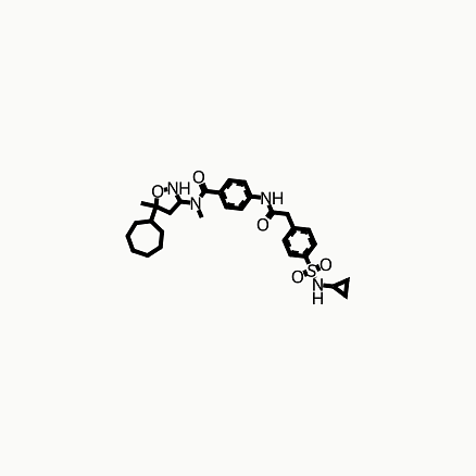 CN(C(=O)c1ccc(NC(=O)Cc2ccc(S(=O)(=O)NC3CC3)cc2)cc1)C1CC(C)(C2CCCCCC2)ON1